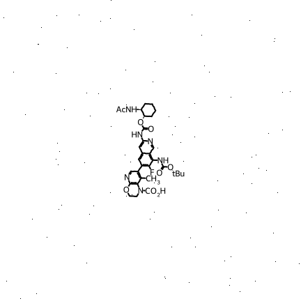 CC(=O)N[C@H]1CCCC[C@@H]1OC(=O)Nc1cc2cc(-c3cnc4c(c3C)N(C(=O)O)CCO4)c(F)c(NC(=O)OC(C)(C)C)c2cn1